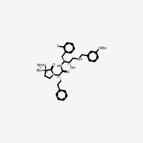 CC[C@H](C)[C@@]1(NC(C)=O)CCN([C@@H](CCc2ccccc2)C(=O)N[C@@H](Cc2ccccc2F)[C@@H](O)CNCc2cccc(OC)c2)C1=O